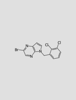 Clc1cccc(Cn2ccc3nc(Br)cnc32)c1Cl